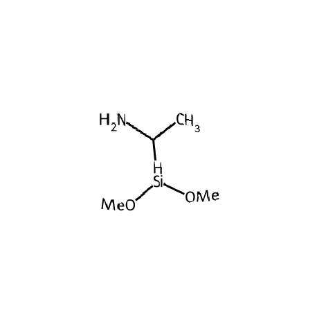 CO[SiH](OC)C(C)N